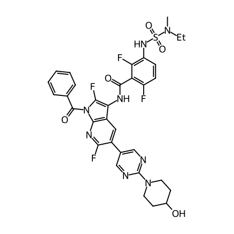 CCN(C)S(=O)(=O)Nc1ccc(F)c(C(=O)Nc2c(F)n(C(=O)c3ccccc3)c3nc(F)c(-c4cnc(N5CCC(O)CC5)nc4)cc23)c1F